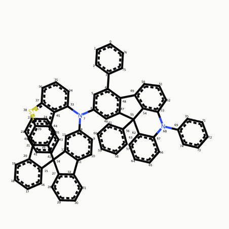 c1ccc(-c2cc(N(c3ccc4c(c3)C3(c5ccccc5-c5ccccc53)c3ccccc3-4)c3cccc4sc5ccccc5c34)cc3c2-c2cccc4c2C3(c2ccccc2)c2ccccc2N4c2ccccc2)cc1